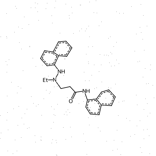 CCN(CCC(=O)Nc1cccc2ccccc12)Nc1cccc2ccccc12